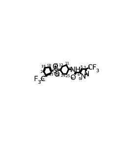 Cn1nc(C(F)(F)F)cc1C(=O)NC1CCC(S(=O)(=O)c2cccc(C(F)(F)F)c2)CC1